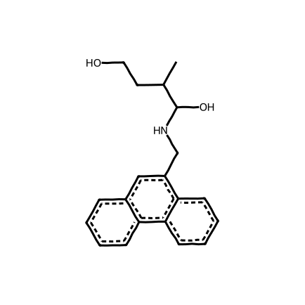 CC(CCO)C(O)NCc1cc2ccccc2c2ccccc12